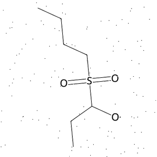 CCCCS(=O)(=O)C([O])CC